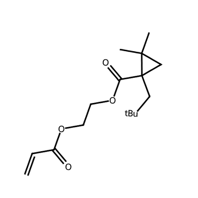 C=CC(=O)OCCOC(=O)C1(CC(C)(C)C)CC1(C)C